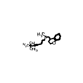 CN(CC=CC#CC(C)(C)C)CC1=CCOc2ccccc21